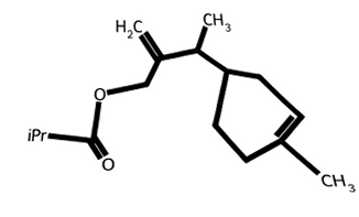 C=C(COC(=O)C(C)C)C(C)C1CC=C(C)CC1